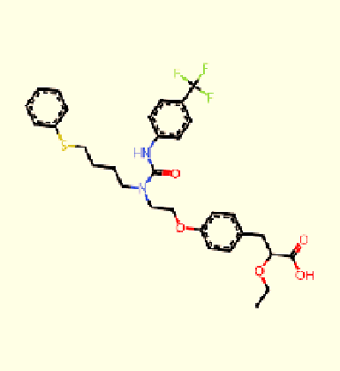 CCOC(Cc1ccc(OCCN(CCCCSc2ccccc2)C(=O)Nc2ccc(C(F)(F)F)cc2)cc1)C(=O)O